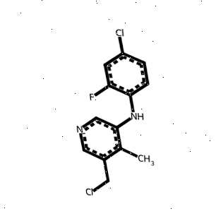 Cc1c(CCl)cncc1Nc1ccc(Cl)cc1F